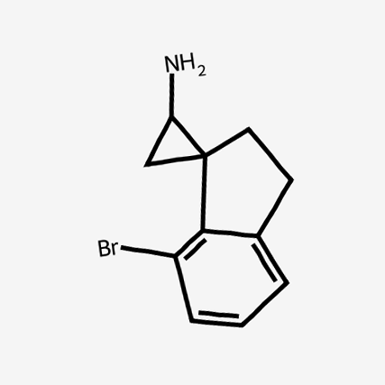 NC1CC12CCc1cccc(Br)c12